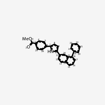 COC(=O)c1ccc(-c2ccc(-c3ccc4cccc(-c5ccccc5)c4c3)[nH]2)cc1